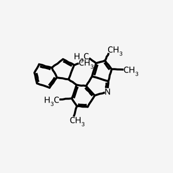 CC1=Cc2ccccc2C1c1c(C)c(C)cc2c1C1=C(C)C(C)=C(C)C1=N2